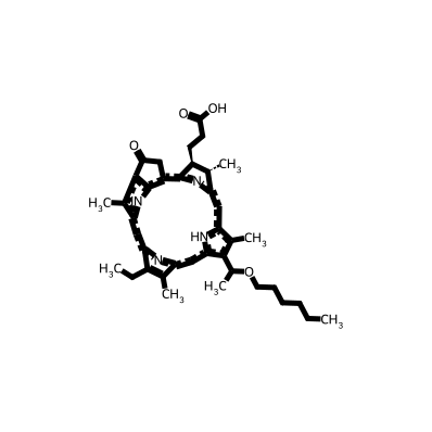 CCCCCCOC(C)c1c(C)c2cc3nc(c4c5[nH]c(cc6nc(cc1[nH]2)C(C)=C6CC)c(C)c5C(=O)C4)[C@@H](CCC(=O)O)[C@@H]3C